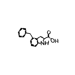 O=C(O)C1Cc2c(Cc3ccccc3)cccc2N1